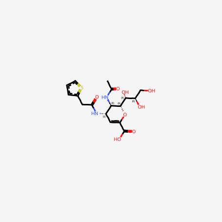 CC(=O)N[C@H]1[C@H]([C@H](O)[C@H](O)CO)OC(C(=O)O)=C[C@@H]1NC(=O)Cc1cccs1